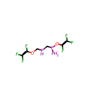 FC(F)=C(F)OCPCP(P)OC(F)=C(F)F